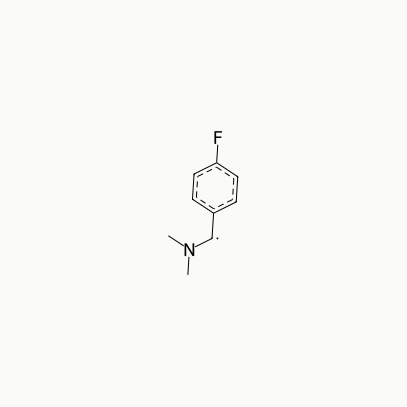 CN(C)[CH]c1ccc(F)cc1